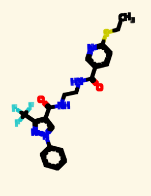 CCSc1ccc(C(=O)NCCNC(=O)c2cn(-c3ccccc3)nc2C(F)(F)F)cn1